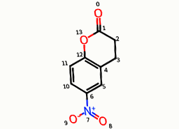 O=C1CCc2cc([N+](=O)[O-])ccc2O1